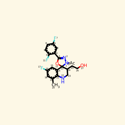 CC(=O)N1N=C(c2cc(F)ccc2F)OC12c1cc(F)cc(C)c1NCC2CCO